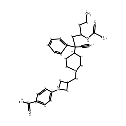 CCCC(CC(C#N)(c1ccccc1)C1CCN(CC2CN(c3ccc(C(=O)O)cc3)C2)CC1)OC(C)=O